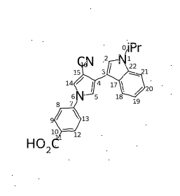 CC(C)n1cc(-c2cn(-c3ccc(C(=O)O)cc3)cc2C#N)c2ccccc21